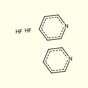 F.F.c1ccncc1.c1ccncc1